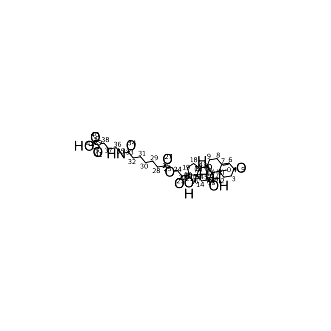 C[C@]12CCC(=O)C=C1CC[C@@H]1[C@@H]2[C@@H](O)C[C@@]2(C)[C@H]1CC[C@]2(O)C(=O)COC(=O)CCCCCC(=O)NCCCS(=O)(=O)O